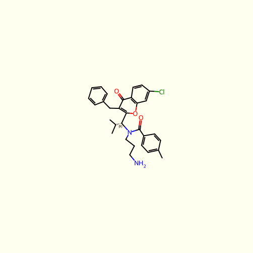 Cc1ccc(C(=O)N(CCCN)[C@@H](c2oc3cc(Cl)ccc3c(=O)c2Cc2ccccc2)C(C)C)cc1